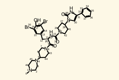 CN1CCN(C2CCN(C(=O)[C@@H](Cc3cc(Br)c(O)c(Br)c3)NC(=O)N3CCC(n4cc(-c5ccccc5)[nH]c4=O)CC3)CC2)CC1